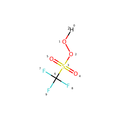 [2H]OOS(=O)(=O)C(F)(F)F